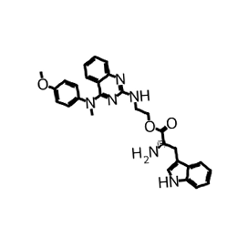 COc1ccc(N(C)c2nc(NCCOC(=O)[C@H](N)Cc3c[nH]c4ccccc34)nc3ccccc23)cc1